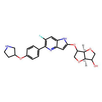 OC1CO[C@@H]2C(Oc3cc4nc(-c5ccc(OC6CCNC6)cc5)c(F)cc4[nH]3)CO[C@H]12